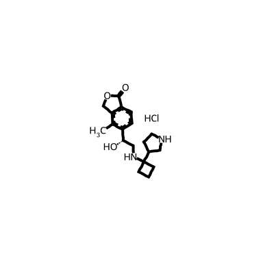 Cc1c([C@@H](O)CNC2(C3CCNC3)CCC2)ccc2c1COC2=O.Cl